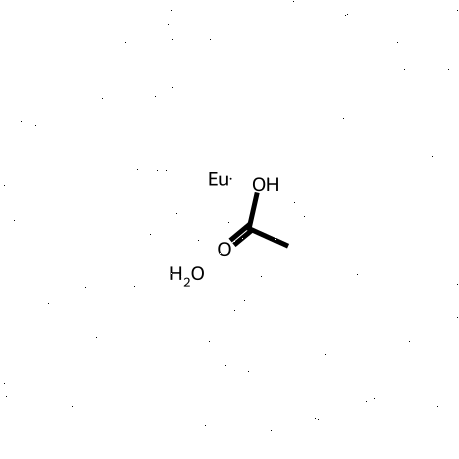 CC(=O)O.O.[Eu]